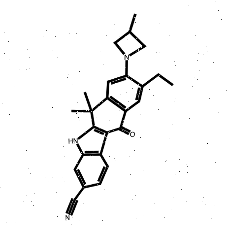 CCc1cc2c(cc1N1CC(C)C1)C(C)(C)c1[nH]c3cc(C#N)ccc3c1C2=O